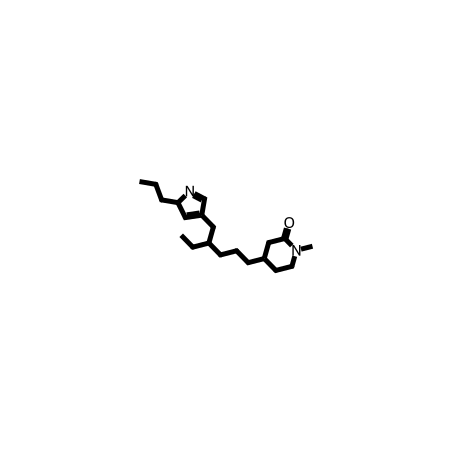 CCCC1C=C(CC(CC)CCCC2CCN(C)C(=O)C2)C=N1